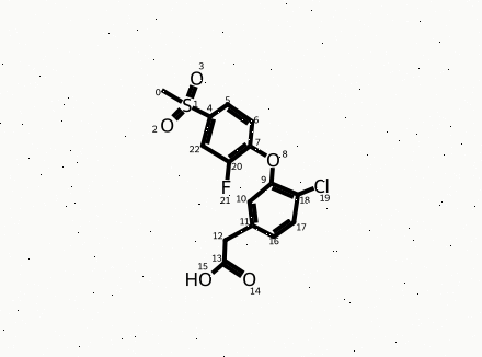 CS(=O)(=O)c1ccc(Oc2cc(CC(=O)O)ccc2Cl)c(F)c1